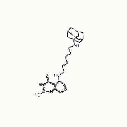 Cc1nc2cccc(NCCCCCCNC34CC5CC(CC(C5)C3)C4)c2c(=O)[nH]1